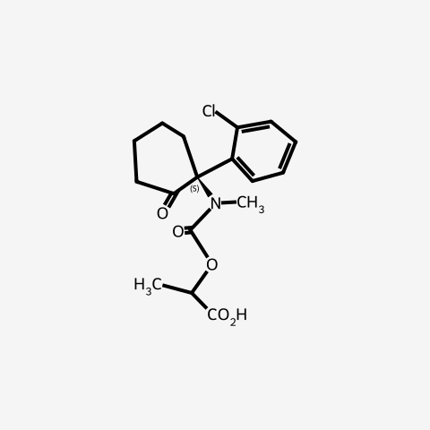 CC(OC(=O)N(C)[C@]1(c2ccccc2Cl)CCCCC1=O)C(=O)O